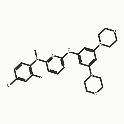 CN(c1ccnc(Nc2cc(N3CCOCC3)cc(N3CCOCC3)c2)n1)c1ccc(Cl)cc1F